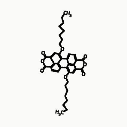 CCCCCCCCOc1cc2c3c(ccc4c5c(OCCCCCCCC)cc6c7c(ccc(c1c34)c75)C(=O)OC6=O)C(=O)OC2=O